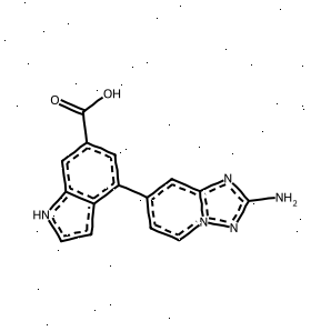 Nc1nc2cc(-c3cc(C(=O)O)cc4[nH]ccc34)ccn2n1